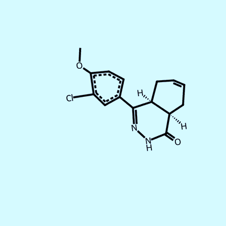 COc1ccc(C2=NNC(=O)[C@@H]3CC=CC[C@H]23)cc1Cl